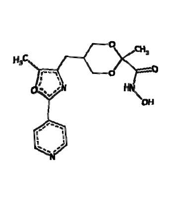 Cc1oc(-c2ccncc2)nc1CC1COC(C)(C(=O)NO)OC1